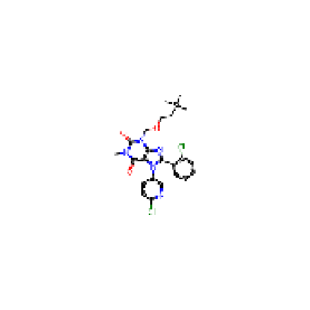 Cn1c(=O)c2c(nc(-c3ccccc3Cl)n2-c2ccc(Cl)nc2)n(COCC[Si](C)(C)C)c1=O